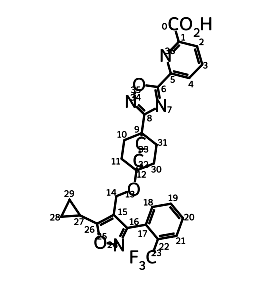 O=C(O)c1cccc(-c2nc(C34CCC(OCc5c(-c6ccccc6C(F)(F)F)noc5C5CC5)(CC3)CC4)no2)n1